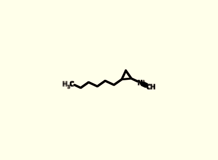 C#[N+]C1CC1CCCCCC